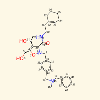 C[C@H](O)[C@@H]1[C@H](CO)ON(Cc2ccc(CN(C)Cc3ccccc3)cc2)[C@@H]1C(=O)NCCC1=CCCCC1